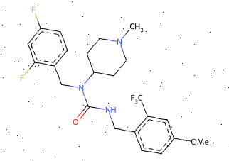 COc1ccc(CNC(=O)N(Cc2ccc(F)cc2F)C2CCN(C)CC2)c(C(F)(F)F)c1